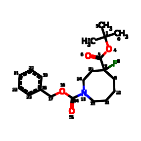 CC(C)(C)OC(=O)C1(F)CCCCN(C(=O)OCc2ccccc2)CC1